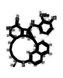 COc1c(Cl)cccc1Nc1c2[nH]c3c1C(=O)NCC3CCC[C@@H](C)Oc1ccc3nccc-2c3n1